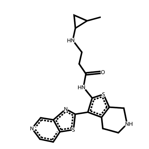 CC1CC1NCCC(=O)Nc1sc2c(c1-c1nc3cnccc3s1)CCNC2